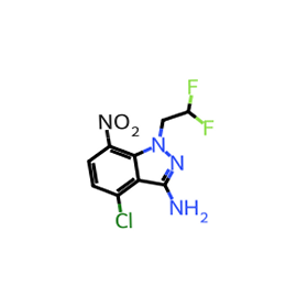 Nc1nn(CC(F)F)c2c([N+](=O)[O-])ccc(Cl)c12